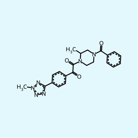 CC1CN(C(=O)c2ccccc2)CCN1C(=O)C(=O)c1ccc(-c2nnn(C)n2)cc1